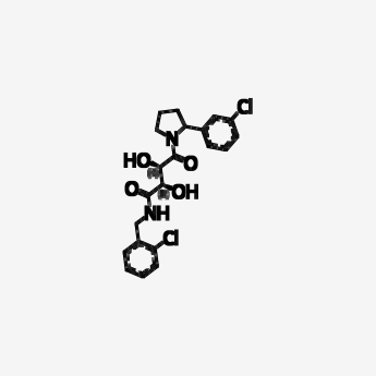 O=C(NCc1ccccc1Cl)[C@H](O)[C@@H](O)C(=O)N1CCCC1c1cccc(Cl)c1